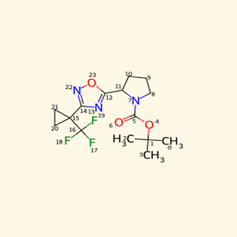 CC(C)(C)OC(=O)N1CCCC1c1nc(C2(C(F)(F)F)CC2)no1